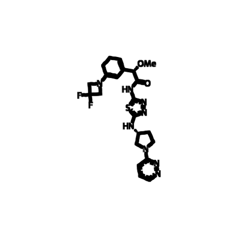 CO[C@@H](C(=O)Nc1nnc(N[C@@H]2CCN(c3cccnn3)C2)s1)C1=CCCC(N2CC(F)(F)C2)=C1